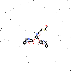 COc1cc2c(cc1OCc1cc(COc3cc4c(cc3OC)C(=O)N3c5ccccc5C[C@H]3C=N4)cc(NC(=O)CCCC(C)(C)SSC(C)CCC(C)=O)c1)N=C[C@@H]1Cc3ccccc3N1C2=O